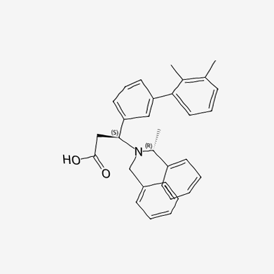 Cc1cccc(-c2cccc([C@H](CC(=O)O)N(Cc3ccccc3)[C@H](C)c3ccccc3)c2)c1C